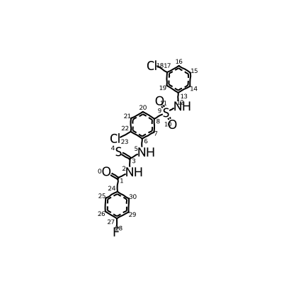 O=C(NC(=S)Nc1cc(S(=O)(=O)Nc2cccc(Cl)c2)ccc1Cl)c1ccc(F)cc1